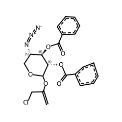 C=C(CCl)OC1OC[C@H](N=[N+]=[N-])[C@@H](OC(=O)c2ccccc2)[C@@H]1OC(=O)c1ccccc1